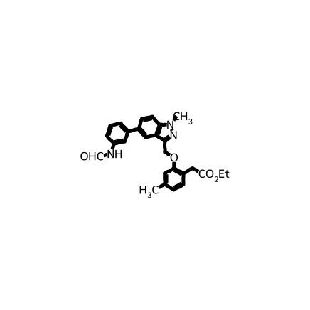 CCOC(=O)Cc1ccc(C)cc1OCc1nn(C)c2ccc(-c3cccc(NC=O)c3)cc12